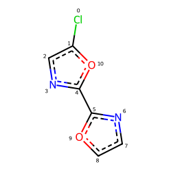 Clc1cnc(-c2ncco2)o1